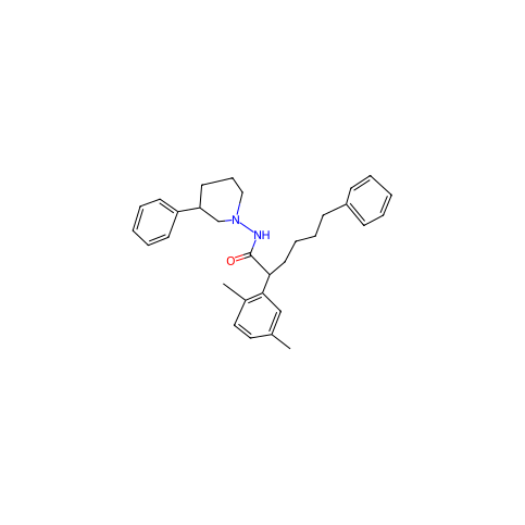 Cc1ccc(C)c(C(CCCCc2ccccc2)C(=O)NN2CCCC(c3ccccc3)C2)c1